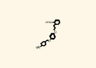 CCCCCCC1CCCCC1CCCOc1ccc(OCC2CCC(CCC)CC2)cc1